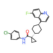 O=C(Nc1ccc(Cl)cc1)C1([C@H]2CC[C@H](c3ccnc4ccc(F)cc43)CC2)CC1